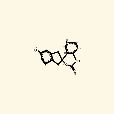 Cc1ccc2c(c1)CC1(C2)OC(=O)Nc2ncncc21